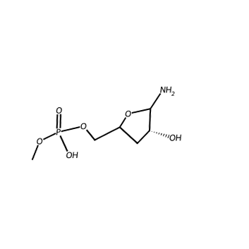 COP(=O)(O)OCC1C[C@@H](O)C(N)O1